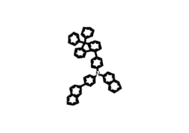 c1ccc(C2(c3ccccc3)c3ccccc3-c3c(-c4ccc(N(c5ccc(-c6ccc7ccccc7c6)cc5)c5ccc6ccccc6c5)cc4)cccc32)cc1